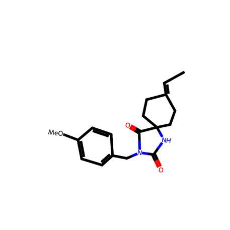 CC=C1CCC2(CC1)NC(=O)N(Cc1ccc(OC)cc1)C2=O